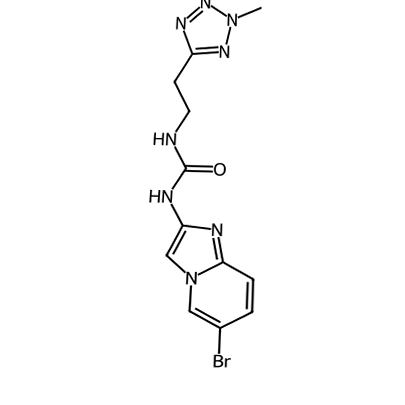 Cn1nnc(CCNC(=O)Nc2cn3cc(Br)ccc3n2)n1